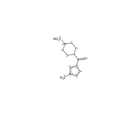 Cn1ccc(C(=O)C2CCN(C(=O)O)CC2)c1